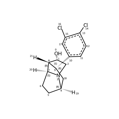 O[C@@H]1CN2[C@@H]3CC[C@H]2[C@H]1[C@H](c1ccc(Cl)c(Cl)c1)C3